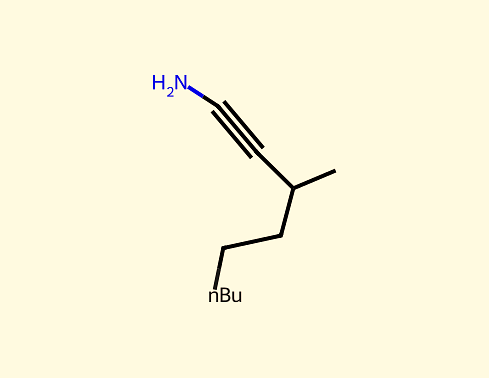 CCCCCCC(C)C#CN